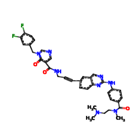 CN(C)CCN(C)C(=O)c1ccc(Nc2ncc3cc(C#CCNC(=O)c4cncn(Cc5ccc(F)c(F)c5)c4=O)ccc3n2)cc1